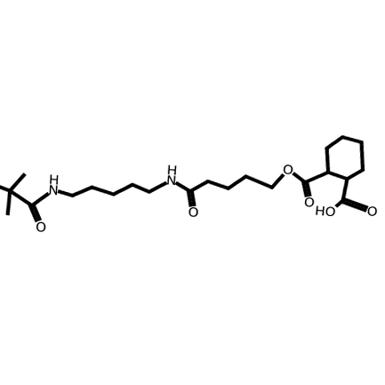 CCC(C)(C)C(=O)NCCCCCNC(=O)CCCCOC(=O)C1CCCCC1C(=O)O